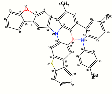 Cc1cc2c3c4c1c1cc5oc6ccccc6c5cc1n4-c1cc4sc5ccccc5c4cc1B3N(c1ccc(C(C)(C)C)cc1)c1ccc(C(C)(C)C)cc1-2